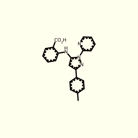 Cc1ccc(-c2cc(Nc3ccccc3C(=O)O)n(-c3ccccn3)n2)cc1